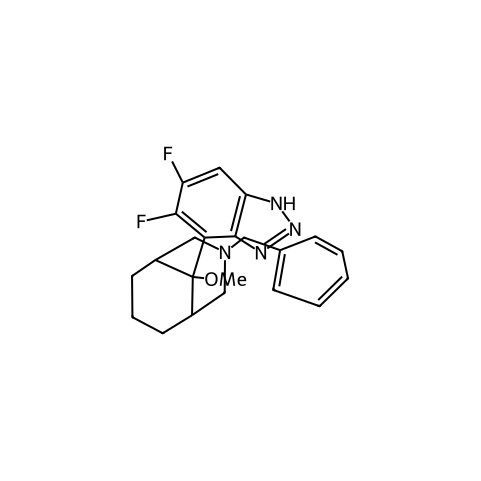 COC1(c2c(F)c(F)cc3[nH]nnc23)C2CCCC1CN(Cc1ccccc1)C2